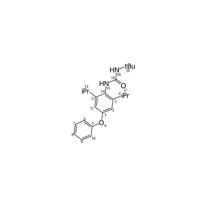 CC(C)c1cc(Oc2ccccc2)cc(C(C)C)c1NC(=O)NC(C)(C)C